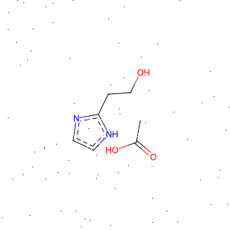 CC(=O)O.OCCc1ncc[nH]1